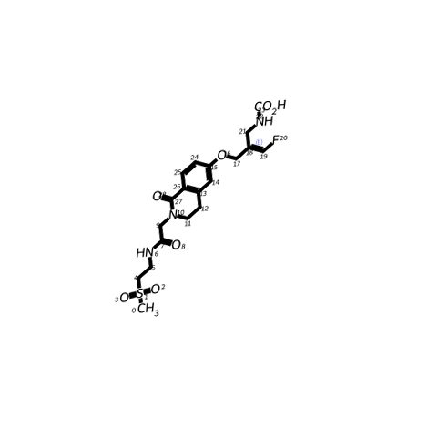 CS(=O)(=O)CCNC(=O)CN1CCc2cc(OC/C(=C/F)CNC(=O)O)ccc2C1=O